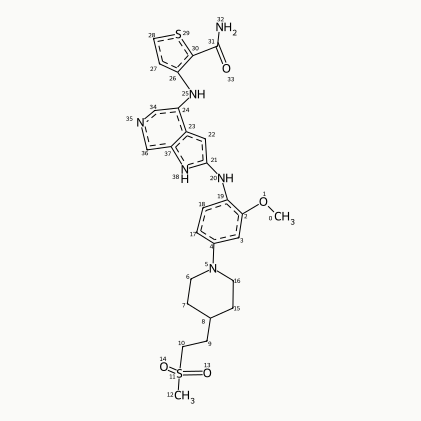 COc1cc(N2CCC(CCS(C)(=O)=O)CC2)ccc1Nc1cc2c(Nc3ccsc3C(N)=O)cncc2[nH]1